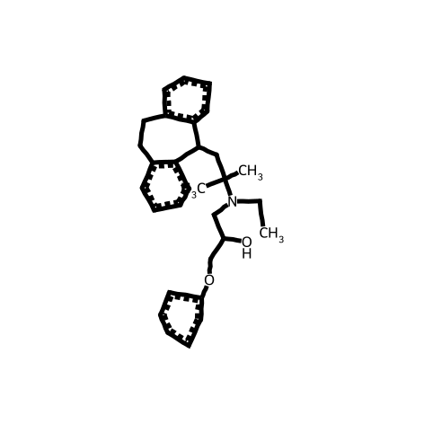 CCN(CC(O)COc1ccccc1)C(C)(C)CC1c2ccccc2CCc2ccccc21